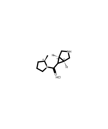 C[C@@H]1CCCN1C(=O)C1[C@H]2CNC[C@@H]12.Cl